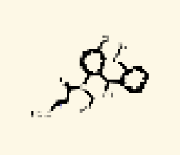 CCOc1ccccc1C(O)c1cc(Cl)ccc1N(CC(C)C)C(=O)/C=C/C(=O)O